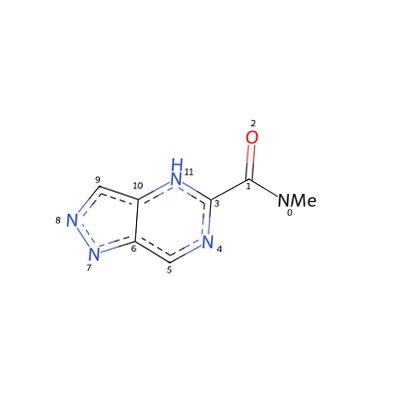 CNC(=O)c1ncc2nncc-2[nH]1